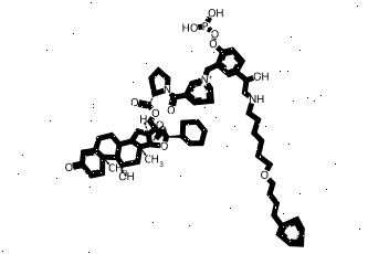 C[C@]12C=CC(=O)C=C1CCC1C2[C@@H](O)C[C@@]2(C)C1C[C@H]1O[C@@H](C3CCCCC3)O[C@]12C(=O)COC(=O)[C@@H]1CCCN1C(=O)c1ccc[n+](Cc2cc(C(O)CNCCCCCCOCCCCc3ccccc3)ccc2OOP(O)O)c1